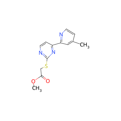 COC(=O)CSc1nccc(-c2cc(C)ccn2)n1